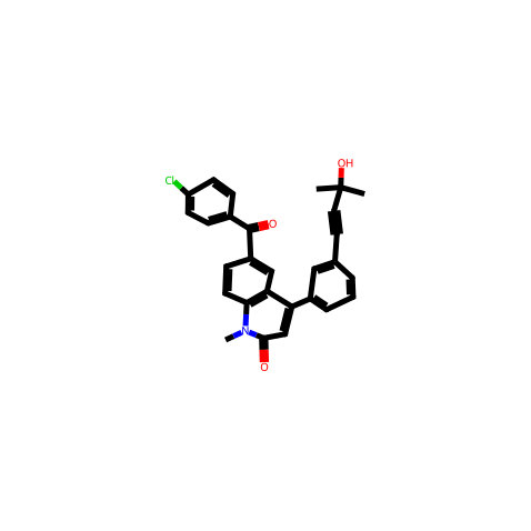 Cn1c(=O)cc(-c2cccc(C#CC(C)(C)O)c2)c2cc(C(=O)c3ccc(Cl)cc3)ccc21